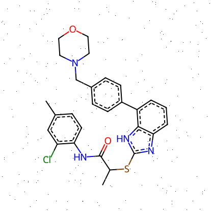 Cc1ccc(NC(=O)C(C)Sc2nc3cccc(-c4ccc(CN5CCOCC5)cc4)c3[nH]2)c(Cl)c1